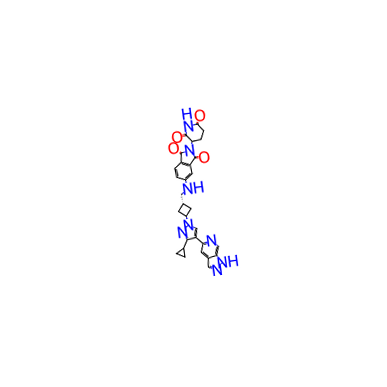 O=C1CCC(N2C(=O)c3ccc(NC[C@H]4C[C@H](n5cc(-c6cc7cn[nH]c7cn6)c(C6CC6)n5)C4)cc3C2=O)C(=O)N1